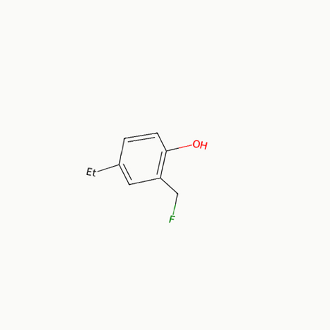 CCc1ccc(O)c(CF)c1